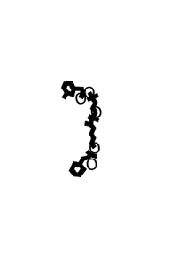 CC1C=CC=C(CC(=O)OC(C)(C)CCOC(C)(C)C(C)CCCCOC(C)(C)C(=O)Cc2ccccc2)C1